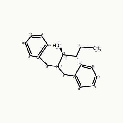 CCC[C@H](C)N(Cc1ccccc1)Cc1ccccc1